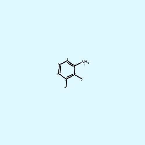 Cc1[c]ccc(N)c1C